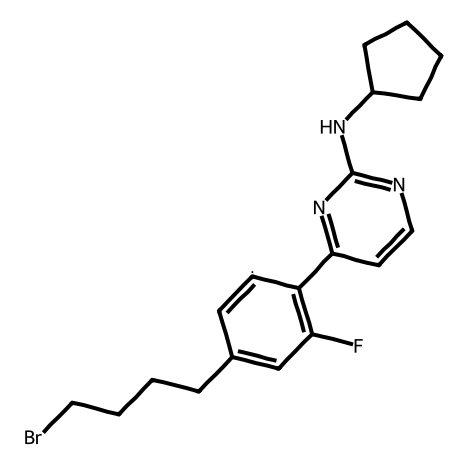 Fc1cc(CCCCBr)c[c]c1-c1ccnc(NC2CCCC2)n1